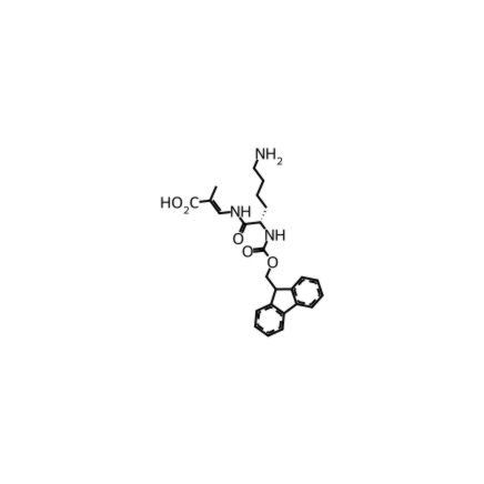 CC(=CNC(=O)[C@H](CCCCN)NC(=O)OCC1c2ccccc2-c2ccccc21)C(=O)O